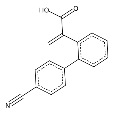 C=C(C(=O)O)c1ccccc1-c1ccc(C#N)cc1